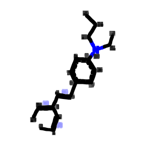 C\C=C/C(/C=C/c1ccc(N(CC)CCC)cc1)=C\C